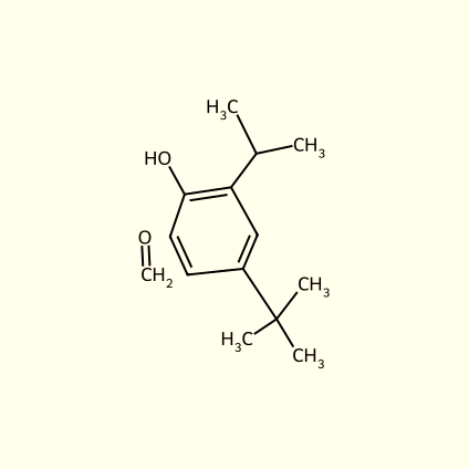 C=O.CC(C)c1cc(C(C)(C)C)ccc1O